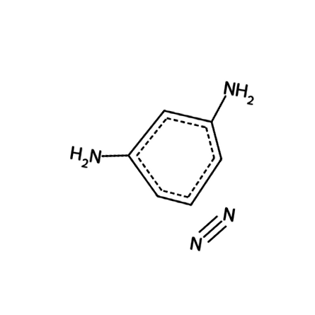 N#N.Nc1cccc(N)c1